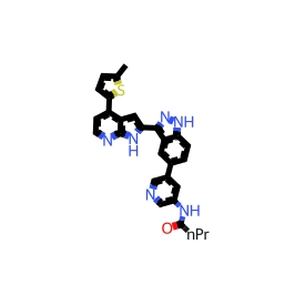 CCCC(=O)Nc1cncc(-c2ccc3[nH]nc(-c4cc5c(-c6ccc(C)s6)ccnc5[nH]4)c3c2)c1